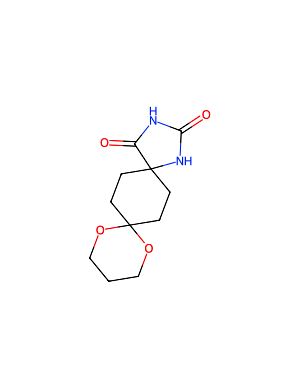 O=C1NC(=O)C2(CCC3(CC2)OCCCO3)N1